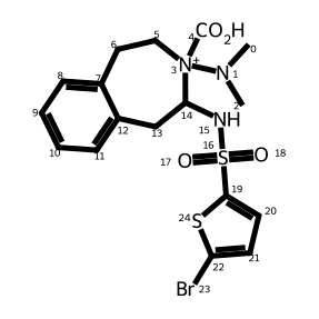 CN(C)[N+]1(C(=O)O)CCc2ccccc2CC1NS(=O)(=O)c1ccc(Br)s1